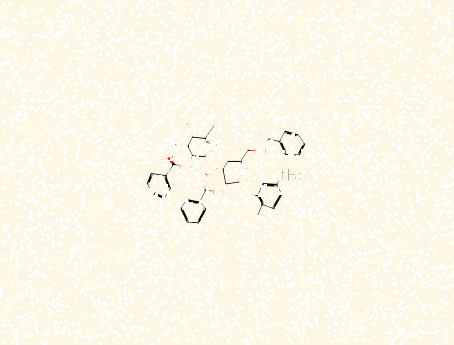 Cc1ccc(C(C)(C)C)cc1S[C@@H]1OC(COCc2ccccc2)[C@@H](C)[C@H](O[C@@H]2OC(C)[C@H](C)[C@H](C)C2OC(=O)c2ccccc2)C1OC(=O)c1ccccc1